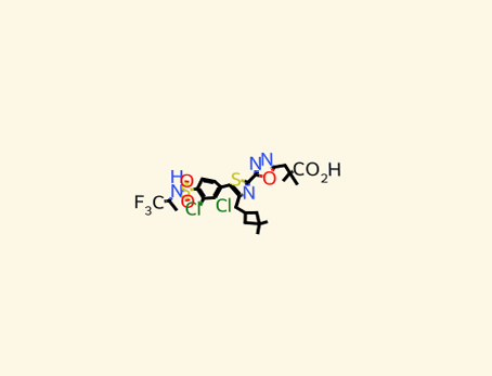 CC(NS(=O)(=O)c1ccc(-c2sc(-c3nnc(CC(C)(C)C(=O)O)o3)nc2CC2CC(C)(C)C2)c(Cl)c1Cl)C(F)(F)F